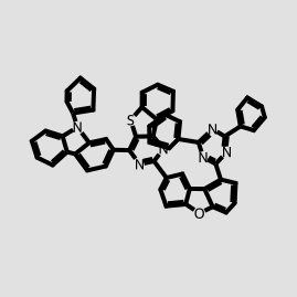 c1ccc(-c2nc(-c3ccccc3)nc(-c3cccc4oc5ccc(-c6nc(-c7ccc8c9ccccc9n(-c9ccccc9)c8c7)c7sc8ccccc8c7n6)cc5c34)n2)cc1